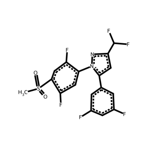 CS(=O)(=O)c1cc(F)c(-n2nc(C(F)F)cc2-c2cc(F)cc(F)c2)cc1F